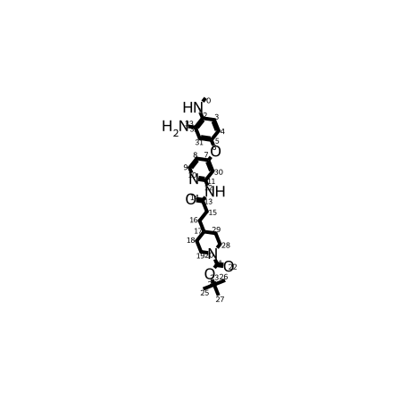 CNc1ccc(Oc2ccnc(NC(=O)CCC3CCN(C(=O)OC(C)(C)C)CC3)c2)cc1N